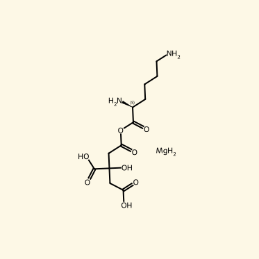 NCCCC[C@H](N)C(=O)OC(=O)CC(O)(CC(=O)O)C(=O)O.[MgH2]